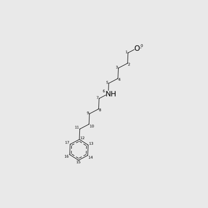 [O]CCCCCNCCCCCc1ccccc1